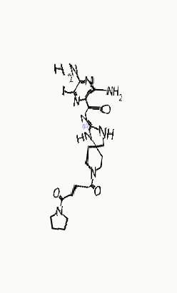 Nc1nc(N)c(C(=O)/N=C2\NCC3(CCN(C(=O)CCC(=O)N4CCCC4)CC3)N2)nc1I